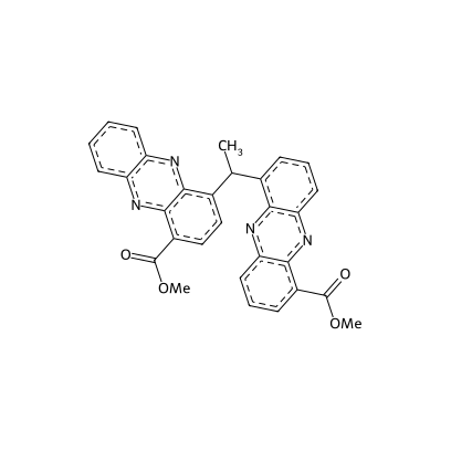 COC(=O)c1cccc2nc3c(C(C)c4ccc(C(=O)OC)c5nc6ccccc6nc45)cccc3nc12